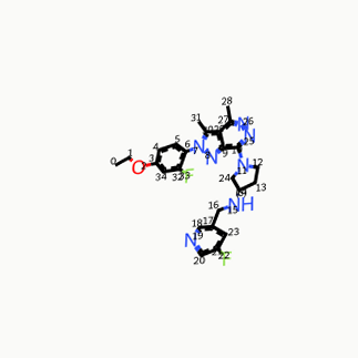 CCOc1ccc(-n2nc3c(N4CC[C@H](NCc5cncc(F)c5)C4)nnc(C)c3c2C)c(F)c1